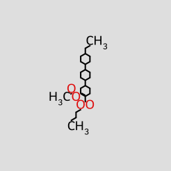 CCCCCOC(=O)C1=C(OC(C)=O)CC(C2CCC(C3CCC(CCC)CC3)CC2)CC1